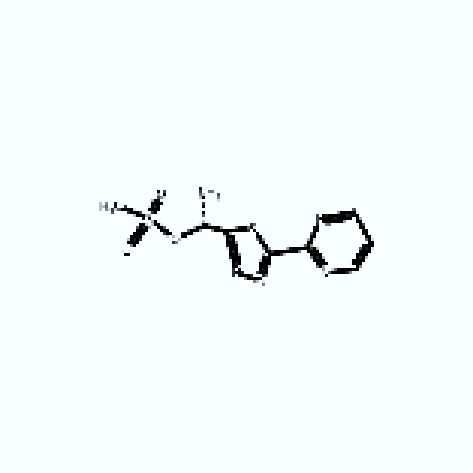 C[C@@H](OS(C)(=O)=O)c1nnc(-c2ncccn2)s1